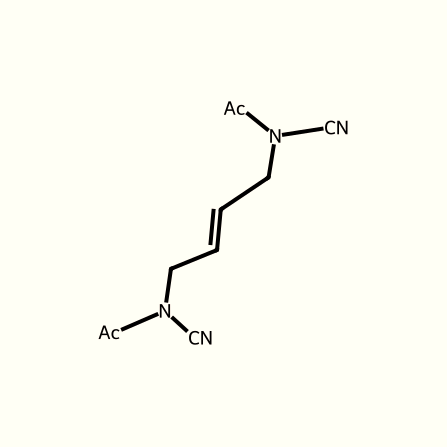 CC(=O)N(C#N)CC=CCN(C#N)C(C)=O